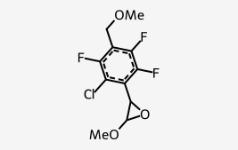 COCc1c(F)c(F)c(C2OC2OC)c(Cl)c1F